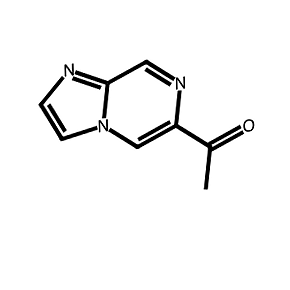 CC(=O)c1cn2ccnc2cn1